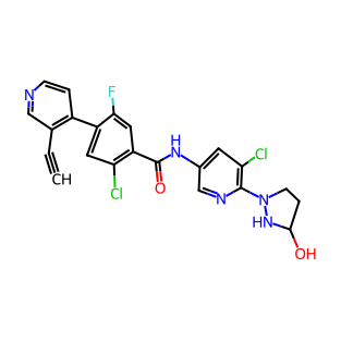 C#Cc1cnccc1-c1cc(Cl)c(C(=O)Nc2cnc(N3CCC(O)N3)c(Cl)c2)cc1F